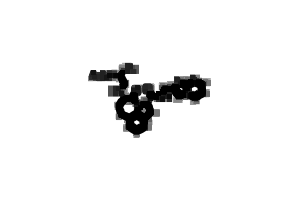 CC[C@H](C)[C@@H](CN[C@H]1CCc2cccc3c2N(C1=O)[C@H](C(=O)NCc1cn2cccnc2n1)C3)NC(C)=O